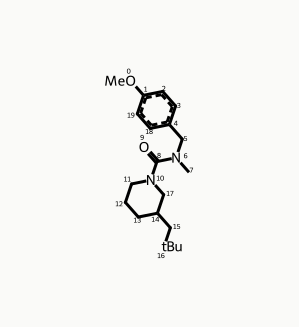 COc1ccc(CN(C)C(=O)N2CCCC(CC(C)(C)C)C2)cc1